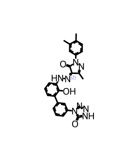 CC1=NN(c2ccc(C)c(C)c2)C(=O)/C1=N\Nc1cccc(-c2cccc(-n3nn[nH]c3=O)c2)c1O